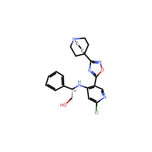 OC[C@@H](Nc1cc(Cl)ncc1-c1nc(C23CCN(CC2)CC3)no1)c1ccccc1